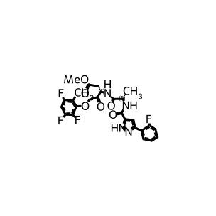 COC(=O)C[C@H](NC(=O)[C@H](C)NC(=O)c1cc(-c2ccccc2F)n[nH]1)C(=O)COc1c(C)c(F)cc(F)c1F